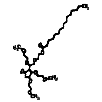 CCCCCCCCCCCCCCCC(=O)OCCOCC(OCCOC)C1C(=O)CC(OCCOC)C1OCCOC